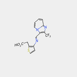 O=C(O)Cc1sccc1N=Cc1c(C(F)(F)F)nc2ccccn12